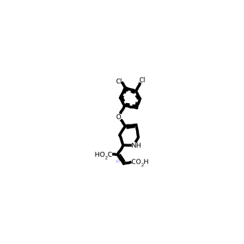 O=C(O)/C=C(/C(=O)O)C1CC(Oc2ccc(Cl)c(Cl)c2)=CCN1